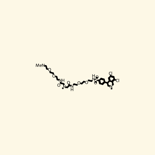 CNCCOCCOCCNC(=O)CN(C)CC(=O)NCCOCCOCCNS(=O)(=O)c1ccc(C2CN(C)Cc3c(Cl)cc(Cl)cc32)cc1